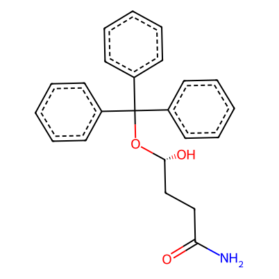 NC(=O)CC[C@@H](O)OC(c1ccccc1)(c1ccccc1)c1ccccc1